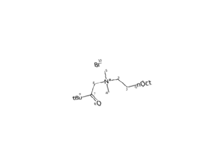 CCCCCCCCCC[N+](C)(C)CC(=O)C(C)(C)C.[Br-]